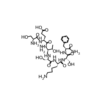 CC(O)[C@@H](CN[C@@H](CO)C(=O)N[C@@H](CCCCN)C(=O)N[C@@H](CO)C(=O)N[C@@H](Cc1ccccc1)C(N)=O)N(N)C(=O)[C@H](CCC(=O)O)NC(=O)[C@@H](N)CO